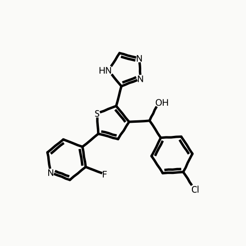 OC(c1ccc(Cl)cc1)c1cc(-c2ccncc2F)sc1-c1nnc[nH]1